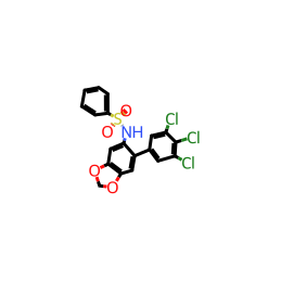 O=S(=O)(Nc1cc2c(cc1-c1cc(Cl)c(Cl)c(Cl)c1)OCO2)c1ccccc1